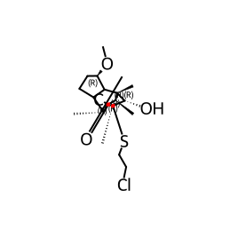 CO[C@@H]1CCC23CC[C@@H](C)[C@](C)(C12)[C@H](O)C[C@@](C)(SCCCl)C(=O)[C@@H]3C